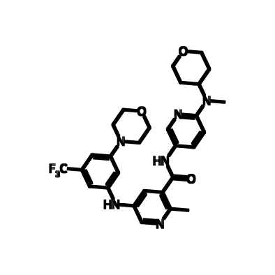 Cc1ncc(Nc2cc(N3CCOCC3)cc(C(F)(F)F)c2)cc1C(=O)Nc1ccc(N(C)C2CCOCC2)nc1